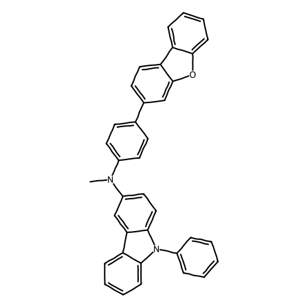 CN(c1ccc(-c2ccc3c(c2)oc2ccccc23)cc1)c1ccc2c(c1)c1ccccc1n2-c1ccccc1